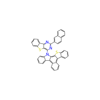 c1ccc2cc(-c3nc(-n4c5ccccc5c5c6ccccc6c6c7ccccc7sc6c54)c4sc5ccccc5c4n3)ccc2c1